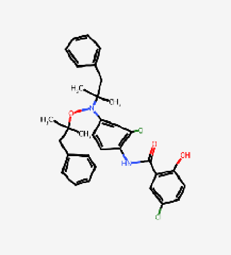 CC(C)(Cc1ccccc1)ON(c1ccc(NC(=O)c2cc(Cl)ccc2O)c(Cl)c1)C(C)(C)Cc1ccccc1